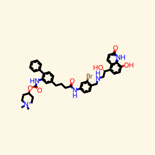 C[N+]1(C)CCC(OC(=O)Nc2cc(CCCC(=O)Nc3ccc(CNC[C@H](O)c4ccc(O)c5[nH]c(=O)ccc45)c(Br)c3)ccc2-c2ccccc2)CC1